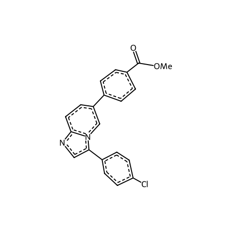 COC(=O)c1ccc(-c2ccc3ncc(-c4ccc(Cl)cc4)n3c2)cc1